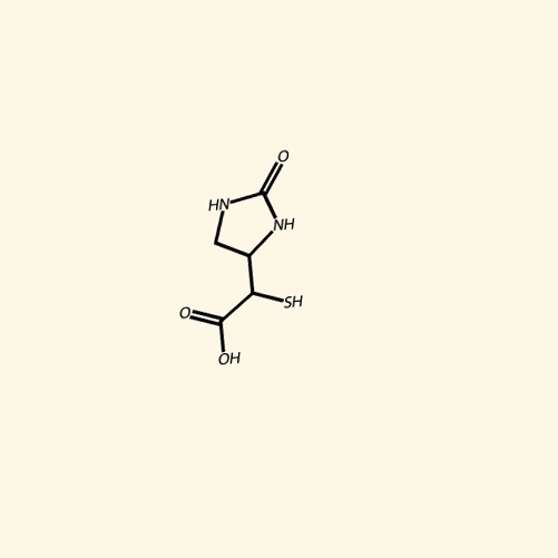 O=C1NCC(C(S)C(=O)O)N1